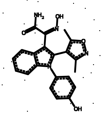 Cc1noc(C)c1-c1c(C(=NO)C(N)=O)c2ccccc2n1-c1ccc(O)cc1